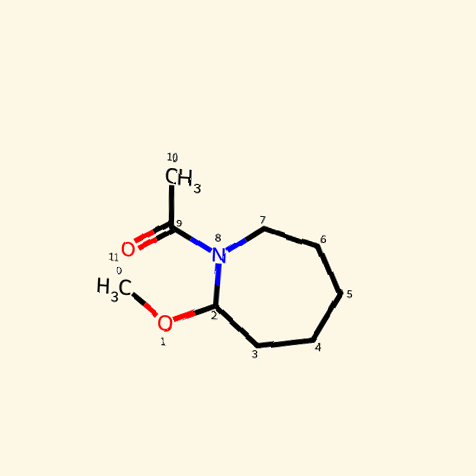 COC1CCCCCN1C(C)=O